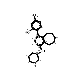 Oc1cc(C(F)(F)F)ccc1-c1nnc(N[C@@H]2CCCNC2)c2c1CCCCC2